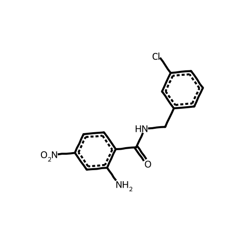 Nc1cc([N+](=O)[O-])ccc1C(=O)NCc1cccc(Cl)c1